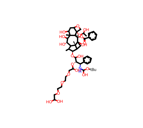 CC(O)O[C@]12COC1CC(O)C1(C)C(O)[C@@H](O)C3C(C)[C@H](OC(O)[C@@H](OC(O)COCCOCCOCC(O)O)[C@H](NC(O)OC(C)(C)C)c4ccccc4)C4CC(O)([C@H](OC(=O)c5ccccc5)[C@H]12)[C@@]34C